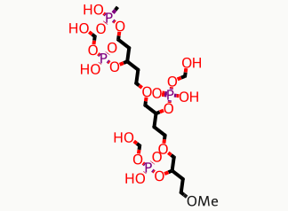 COCCC(COCCC(COCCC(CCOP(C)(=O)O)OP(=O)(O)OCO)OP(=O)(O)OCO)OP(=O)(O)OCO